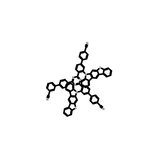 N#Cc1ccc(-c2ccc(-c3nc(-c4ccc(-c5cccc(C#N)c5)cc4)nc(-c4ccc(-c5ccc(C#N)cc5)cc4-n4c5ccccc5c5cc6c(cc54)sc4ccccc46)n3)c(-n3c4ccccc4c4cc5c(cc43)sc3ccccc35)c2)cc1